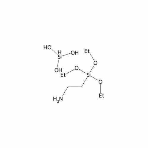 CCO[Si](CCN)(OCC)OCC.O[SiH](O)O